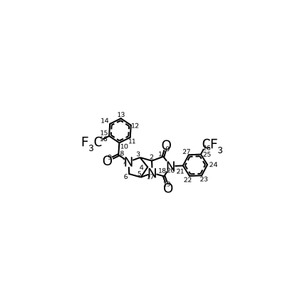 O=C1C2C3CC(CN3C(=O)c3ccccc3C(F)(F)F)N2C(=O)N1c1cccc(C(F)(F)F)c1